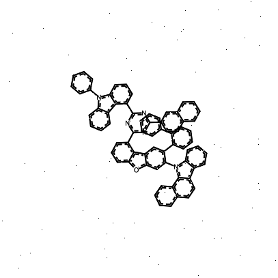 c1ccc(-c2ccccc2-c2cc3c(cc2-n2c4ccccc4c4ccc5ccccc5c42)oc2cccc(-c4nc(-c5ccc6ccccc6c5)nc(-c5cccc6c5c5ccccc5n6-c5ccccc5)n4)c23)cc1